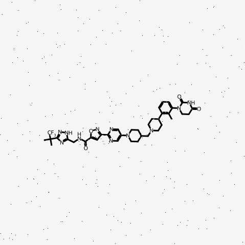 Cc1c(C2CCN(CC3CCN(c4cnc(-c5cc(C(=O)NCc6nc(C(C)(C)C(F)(F)F)n[nH]6)on5)nc4)CC3)CC2)cccc1N1CCC(=O)NC1=O